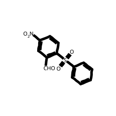 O=Cc1cc([N+](=O)[O-])ccc1S(=O)(=O)c1ccccc1